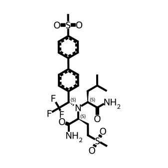 CC(C)C[C@@H](C(N)=O)N([C@@H](c1ccc(-c2ccc(S(C)(=O)=O)cc2)cc1)C(F)(F)F)[C@@H](CCS(C)(=O)=O)C(N)=O